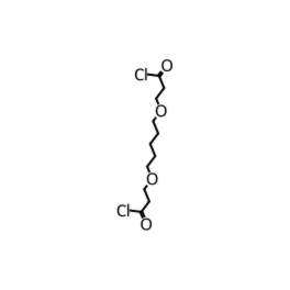 O=C(Cl)CCOCCCCCOCCC(=O)Cl